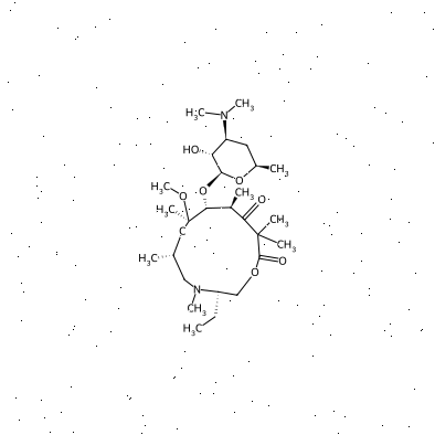 CC[C@H]1COC(=O)C(C)(C)C(=O)[C@H](C)[C@@H](O[C@@H]2O[C@H](C)C[C@H](N(C)C)[C@H]2O)[C@](C)(OC)C[C@@H](C)CN1C